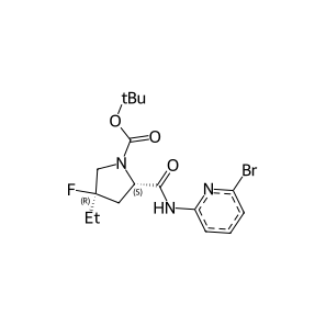 CC[C@@]1(F)C[C@@H](C(=O)Nc2cccc(Br)n2)N(C(=O)OC(C)(C)C)C1